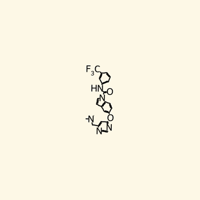 CN(C)Cc1cc(Oc2ccc3c(ccn3C(=O)Nc3cccc(C(F)(F)F)c3)c2)ncn1